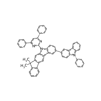 CC1(C)c2ccccc2-c2cc3c4cc(-c5ccc6c(c5)c5ccccc5n6-c5ccccc5)ccc4n(-c4nc(-c5ccccc5)cc(-c5ccccc5)n4)c3cc21